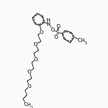 CCCCOCCOCCOCCOCCOc1ccccc1NOS(=O)(=O)c1ccc(C)cc1